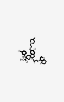 CC1CCN(CCOc2cc3c(cc2Cl)C[C@H](C[C@@H](C)COc2ccnc4c2[C@H](C)CCC4)C32CCC(Nc3cccc(Cl)c3)(C(=O)O)CC2)CC1